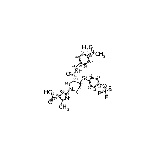 Cc1nc(N2CCN(Sc3ccc(OC(F)(F)F)cc3)[C@@H](C(=O)NCc3ccc(N(C)C)cc3)C2)sc1C(=O)O